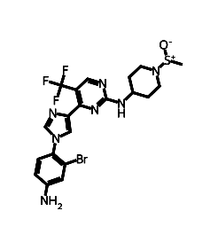 C[S+]([O-])N1CCC(Nc2ncc(C(F)(F)F)c(-c3cn(-c4ccc(N)cc4Br)cn3)n2)CC1